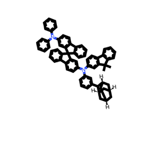 CC1(C)c2ccccc2-c2ccc(N(c3cccc(C4[C@H]5C[C@@H]6C[C@@H](C[C@H]4C6)C5)c3)c3ccc4c(c3)C3(c5ccccc5-c5ccc(N(c6ccccc6)c6ccccc6)cc53)c3ccccc3-4)cc21